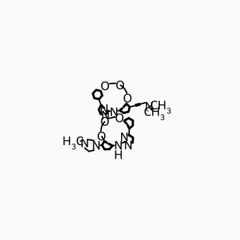 CN(C)CC#Cc1ccc2cc1OCCOCCOc1cccc(c1)-c1ccnc(n1)N2C1COCCOc2cc(ccc2N2CCCN(C)CC2)Nc2nccc(n2)-c2cccc(c2)O1